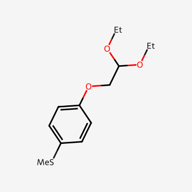 CCOC(COc1ccc(SC)cc1)OCC